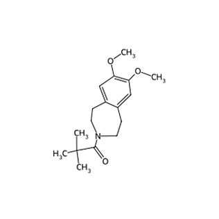 COc1cc2c(cc1OC)CCN(C(=O)C(C)(C)C)CC2